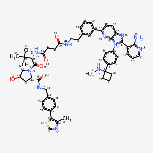 CNC1(c2ccc(-n3c(-c4cccnc4N)nc4ccc(-c5cccc(CCNC(=O)CCC(=O)N[C@H](C(=O)N6C[C@H](O)C[C@H]6C(=O)NCc6ccc(-c7scnc7C)cc6)C(C)(C)C)c5)nc43)cc2)CCC1